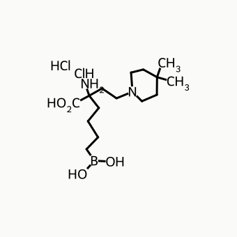 CC1(C)CCN(CCC(N)(CCCCB(O)O)C(=O)O)CC1.Cl.Cl